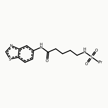 CC(C)S(=O)(=O)NCCCCC(=O)Nc1ccc2scnc2c1